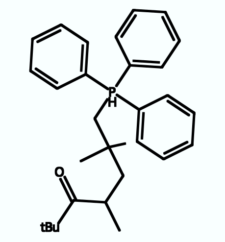 CC(CC(C)(C)C[PH](c1ccccc1)(c1ccccc1)c1ccccc1)C(=O)C(C)(C)C